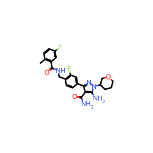 Cc1ccc(F)cc1C(=O)NCc1ccc(-c2nn(C3CCCOC3)c(N)c2C(N)=O)cc1F